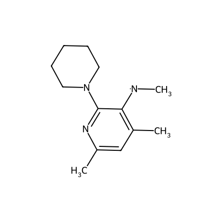 C[N]c1c(C)cc(C)nc1N1CCCCC1